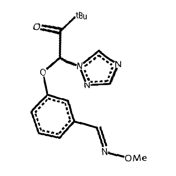 CON=Cc1cccc(OC(C(=O)C(C)(C)C)n2cncn2)c1